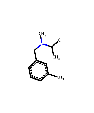 Cc1cccc(CN(C)C(C)C)c1